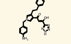 Nc1ccc(Cn2cc(CCc3ccccc3)c(C(=O)C=C(O)c3nn[nH]n3)c2)cc1